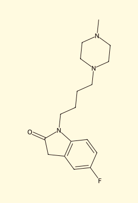 CN1CCN(CCCCN2C(=O)Cc3cc(F)ccc32)CC1